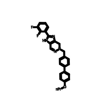 CCCOc1ccc(-c2ccc(CN3Cc4nc(-c5cccc(F)c5F)[nH]c4C=N3)cc2)cc1